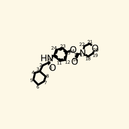 O=C(CC1CCCCC1)Nc1ccc(OC(=O)N2CCOCC2)cc1